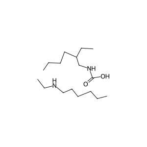 CCCCC(CC)CNC(=O)O.CCCCCCNCC